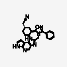 N#CC[C@H]1CC[C@H]2C(=C3ON=C(c4ccccc4)N3Cc3nc4cnc5[nH]ccc5c4n32)C1